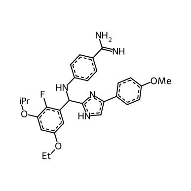 CCOc1cc(OC(C)C)c(F)c(C(Nc2ccc(C(=N)N)cc2)c2nc(-c3ccc(OC)cc3)c[nH]2)c1